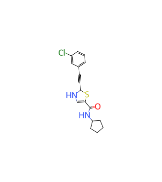 O=C(NC1CCCC1)C1=CNC(C#Cc2cccc(Cl)c2)S1